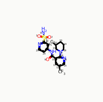 NS(=O)(=O)c1cc(NC(=O)c2cc(C(F)(F)F)cnc2N2CCCC(C(F)(F)F)C2)ccn1